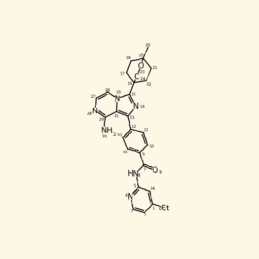 CCc1ccnc(NC(=O)c2ccc(-c3nc(C45CCC(C)(CC4)OC5)n4ccnc(N)c34)cc2)c1